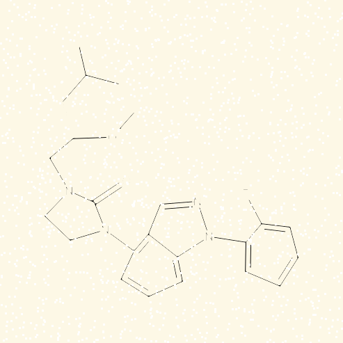 CO[C@@H](CC(C)C)CN1CCN(c2cccc3c2cnn3-c2ccccc2F)C1=O